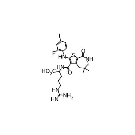 CC1(C)CNC(=O)c2sc(Nc3ccc(I)cc3F)c(C(=O)NC(CCCNC(=N)N)C(=O)O)c2C1